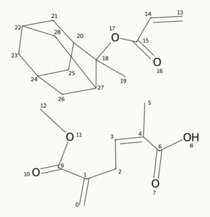 C=C(CC=C(C)C(=O)O)C(=O)OC.C=CC(=O)OC1(C)C2CC3CC(C2)CC1C3